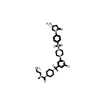 CN(CCN)C(=O)[C@H]1CC[C@H](C(F)(F)c2cc(Cl)nc(N3CCN(S(=O)(=O)c4ccc(N5C[C@H](N)CC5=O)cc4)CC3)c2)CC1